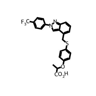 CC(Oc1ccc(SCc2cccc3nn(-c4ccc(C(F)(F)F)cc4)cc23)cc1)C(=O)O